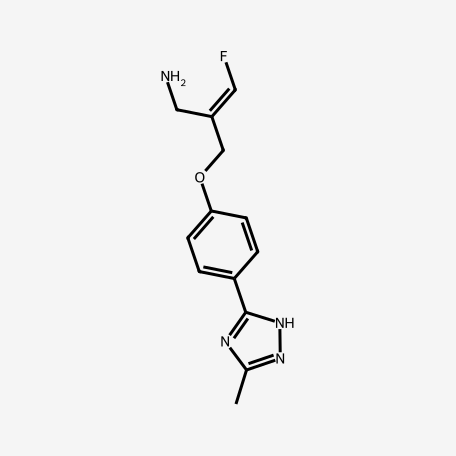 Cc1n[nH]c(-c2ccc(OC/C(=C/F)CN)cc2)n1